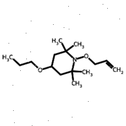 C=CCON1C(C)(C)CC(OCCC)CC1(C)C